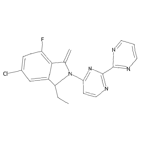 C=C1c2c(F)cc(Cl)cc2C(CC)N1c1ccnc(-c2ncccn2)n1